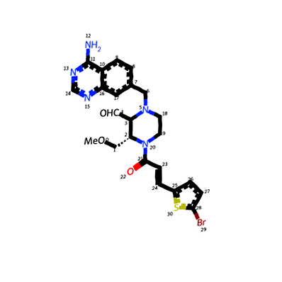 COC[C@@H]1C(C=O)N(Cc2ccc3c(N)ncnc3c2)CCN1C(=O)C=Cc1ccc(Br)s1